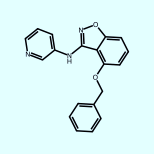 c1ccc(COc2cccc3onc(Nc4cccnc4)c23)cc1